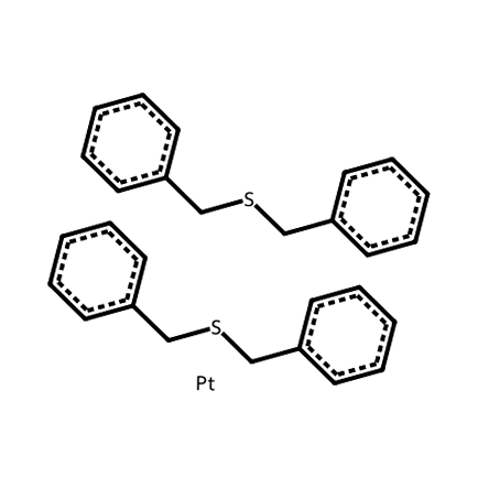 [Pt].c1ccc(CSCc2ccccc2)cc1.c1ccc(CSCc2ccccc2)cc1